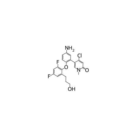 Cn1cc(-c2cc(N)ccc2Oc2c(F)cc(F)cc2CCCO)c(Cl)cc1=O